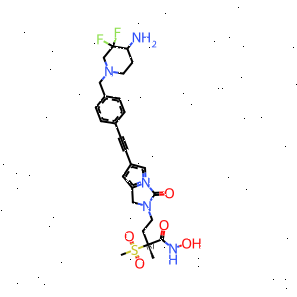 C[C@@](CCN1Cc2cc(C#Cc3ccc(CN4CCC(N)C(F)(F)C4)cc3)cn2C1=O)(C(=O)NO)S(C)(=O)=O